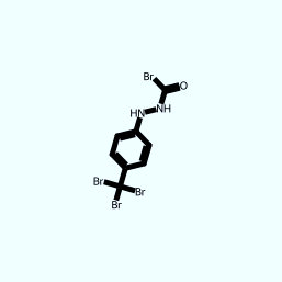 O=C(Br)NNc1ccc(C(Br)(Br)Br)cc1